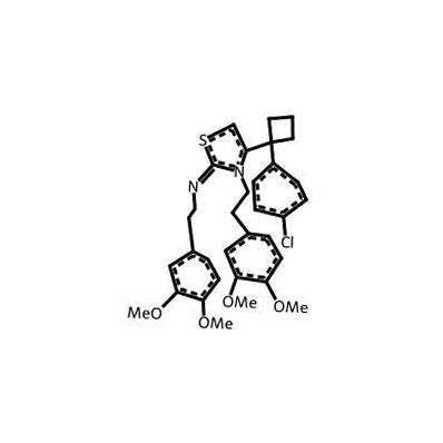 COc1ccc(CCN=c2scc(C3(c4ccc(Cl)cc4)CCC3)n2CCc2ccc(OC)c(OC)c2)cc1OC